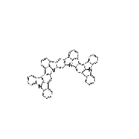 c1ccc2c(c1)c1cc3c(c4cccc5c6cc7c8cccc9c%10c%11c%12ccccc%12n%12c%13ccccc%13c(cc%10n(c7cc6n3c54)c89)c%11%12)c3c4ccccc4n2c13